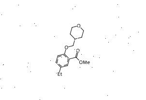 CCc1ccc(OCC2CCOCC2)c(C(=O)OC)c1